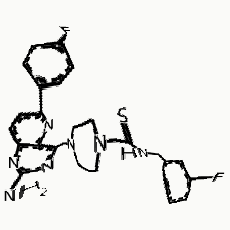 Nc1nc(N2CCN(C(=S)NCc3cccc(F)c3)CC2)c2nc(-c3ccc(F)cc3)ccc2n1